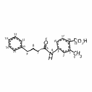 Cc1cc(NC(=O)CCCc2ccccc2)ccc1C(=O)O